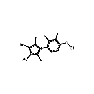 CCOc1ccc(-n2c(C)c(C(C)=O)c(C(C)=O)c2C)c(C)c1C